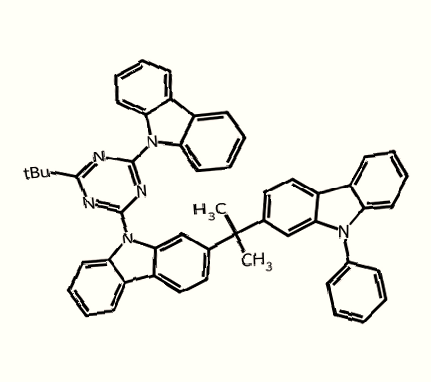 CC(C)(C)c1nc(-n2c3ccccc3c3ccccc32)nc(-n2c3ccccc3c3ccc(C(C)(C)c4ccc5c6ccccc6n(-c6ccccc6)c5c4)cc32)n1